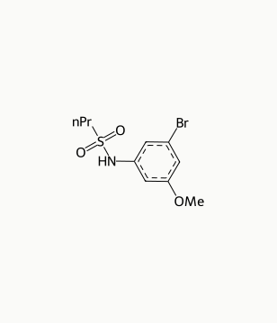 CCCS(=O)(=O)Nc1cc(Br)cc(OC)c1